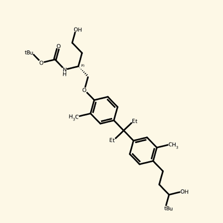 CCC(CC)(c1ccc(CCC(O)C(C)(C)C)c(C)c1)c1ccc(OC[C@@H](CCO)NC(=O)OC(C)(C)C)c(C)c1